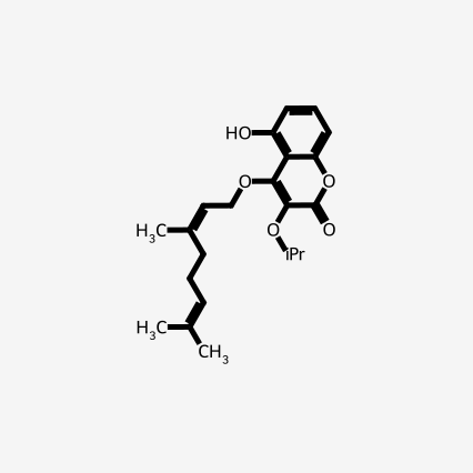 CC(C)=CCCC(C)=CCOc1c(OC(C)C)c(=O)oc2cccc(O)c12